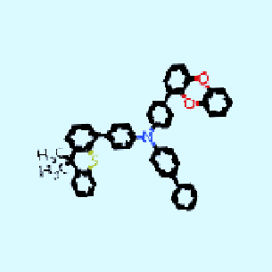 CC1(C)c2ccccc2Sc2c(-c3ccc(N(c4ccc(-c5ccccc5)cc4)c4ccc(-c5cccc6c5Oc5ccccc5O6)cc4)cc3)cccc21